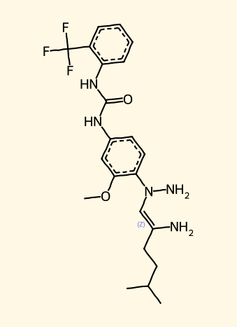 COc1cc(NC(=O)Nc2ccccc2C(F)(F)F)ccc1N(N)/C=C(\N)CCC(C)C